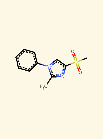 CS(=O)(=O)c1cn(-c2ccccc2)c(C(F)(F)F)n1